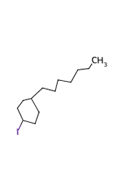 CCCCCCCC1CCC(I)CC1